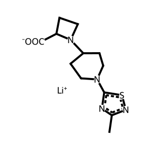 Cc1nsc(N2CCC(N3CCC3C(=O)[O-])CC2)n1.[Li+]